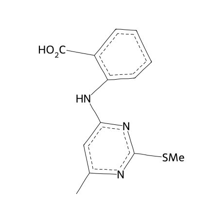 CSc1nc(C)cc(Nc2ccccc2C(=O)O)n1